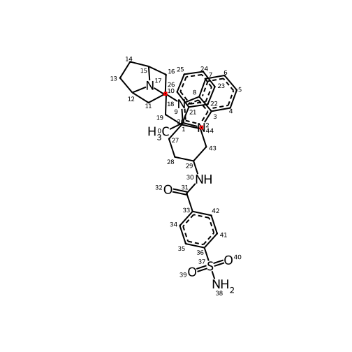 Cc1nc2ccccc2n1C1CC2CCC(C1)N2CCC1(c2ccccc2)CCC(NC(=O)c2ccc(S(N)(=O)=O)cc2)CC1